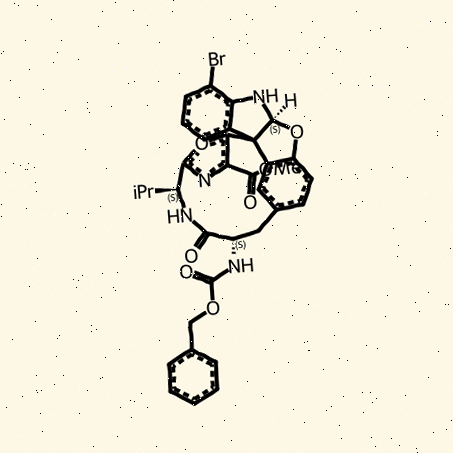 COC(=O)c1nc2oc1C13c4cc(ccc4O[C@@H]1Nc1c(Br)cccc13)C[C@H](NC(=O)OCc1ccccc1)C(=O)N[C@H]2C(C)C